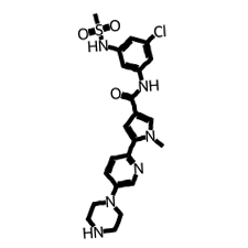 Cn1cc(C(=O)Nc2cc(Cl)cc(NS(C)(=O)=O)c2)cc1-c1ccc(N2CCNCC2)cn1